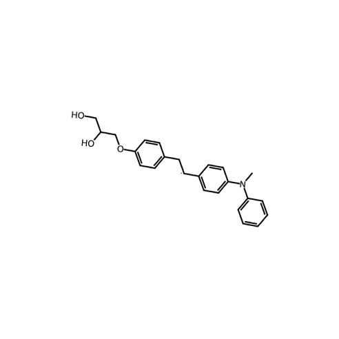 CN(c1ccccc1)c1ccc([CH]Cc2ccc(OCC(O)CO)cc2)cc1